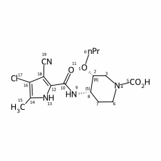 CCCO[C@@H]1CN(C(=O)O)CC[C@@H]1NC(=O)c1[nH]c(C)c(Cl)c1C#N